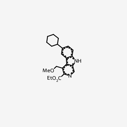 CCOC(=O)c1ncc2[nH]c3ccc(C4CCCCC4)cc3c2c1COC